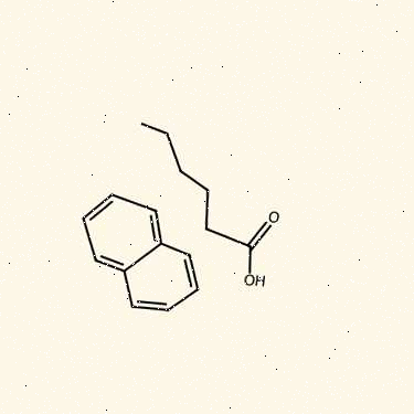 CCCCCC(=O)O.c1ccc2ccccc2c1